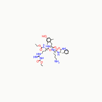 CCOC(=O)NC(=N)NCCC[C@@H](NC(=O)OCC)C(=O)N[C@@H](Cc1c(C)cc(O)cc1C)C(=O)N[C@@H](CCCCN)C(=O)N[C@@H](Cc1ccccc1)C(N)=O